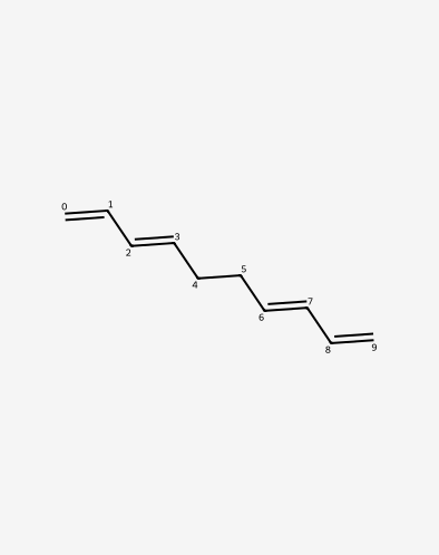 C=CC=CCCC=CC=C